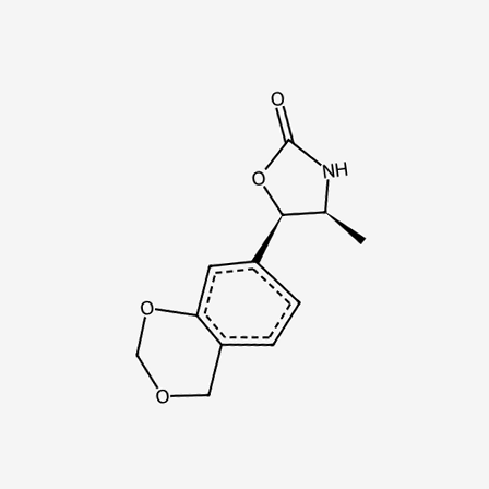 C[C@@H]1NC(=O)O[C@@H]1c1ccc2c(c1)OCOC2